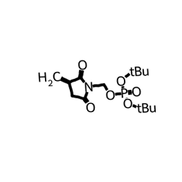 C=C1CC(=O)N(COP(=O)(OC(C)(C)C)OC(C)(C)C)C1=O